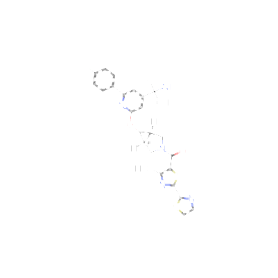 Cc1nc(-c2nccs2)sc1C(=O)N1C[C@@H]2C(Oc3cc(C(C)(C)N)cc(-c4ccc(F)cc4)n3)[C@@H]2C1